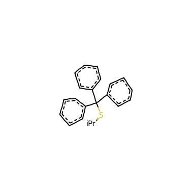 [CH2][C@H](C)SC(c1ccccc1)(c1ccccc1)c1ccccc1